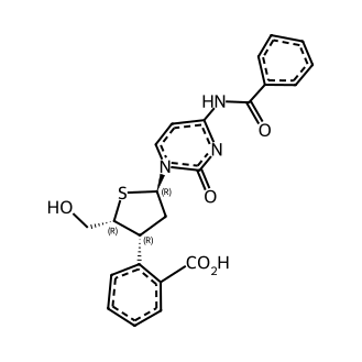 O=C(Nc1ccn([C@H]2C[C@H](c3ccccc3C(=O)O)[C@H](CO)S2)c(=O)n1)c1ccccc1